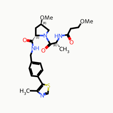 COCCC(=O)N[C@H](C)C(=O)N1C[C@H](OC)C[C@H]1C(=O)NCc1ccc(-c2scnc2C)cc1